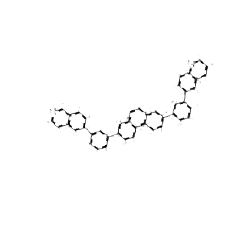 c1cc(-c2ccc3cnccc3c2)cc(-c2ccc3c(ccc4cc(-c5cccc(-c6ccc7ncccc7c6)c5)ccc43)c2)c1